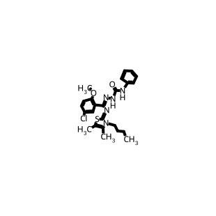 CCCCn1c(C)c(C)s/c1=N\C(=N/NC(=O)Nc1ccccc1)c1cc(Cl)ccc1OC